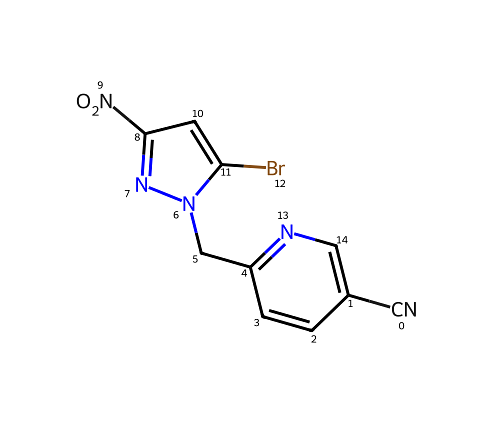 N#Cc1ccc(Cn2nc([N+](=O)[O-])cc2Br)nc1